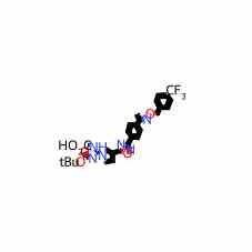 C/C(=N\OCc1ccc(C(F)(F)F)cc1)c1ccc(-c2noc(C3CCN(C(=NC(=O)OC(C)(C)C)NC(=O)O)C3)n2)cc1